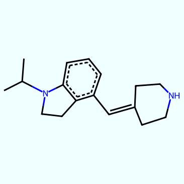 CC(C)N1CCc2c(C=C3CCNCC3)cccc21